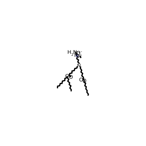 CCCCCCCCCOC(=O)CCCCCCCN(CCCCCCCC(=O)OC(CCCCCCCC)CCCCCCCC)CCCC/C(=N/[S+](N)[O-])N(C)C